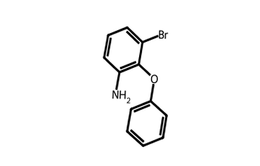 Nc1cccc(Br)c1Oc1ccccc1